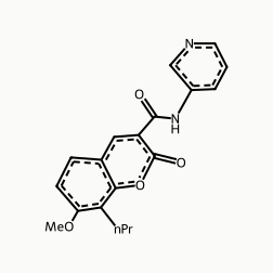 CCCc1c(OC)ccc2cc(C(=O)Nc3cccnc3)c(=O)oc12